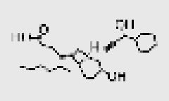 CCCCCC[C@@]12CC[C@H](O)[C@@H](C#CC(O)C3CCCCC3)[C@@H]1CC2=CCCC(=O)O